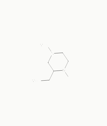 COCC1CN(SC)CCN1C